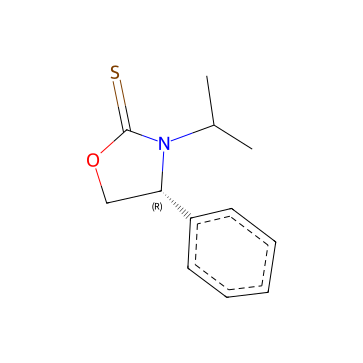 CC(C)N1C(=S)OC[C@H]1c1ccccc1